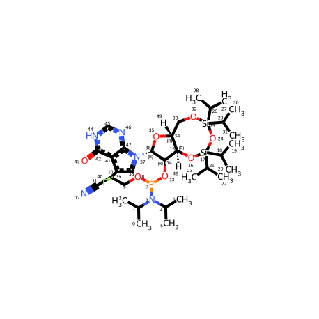 CC(C)N(C(C)C)P(OCCC#N)O[C@@H]1[C@@H]2O[Si](C(C)C)(C(C)C)O[Si](C(C)C)(C(C)C)OC[C@H]2O[C@H]1n1cc(F)c2c(=O)[nH]cnc21